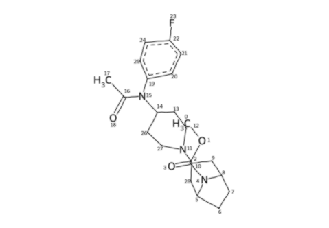 COC(=O)N1C2CCC1CC(N1CCC(N(C(C)=O)c3ccc(F)cc3)CC1)C2